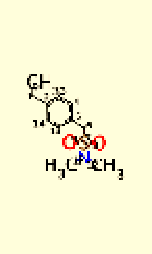 CCc1ccc(CS(=O)(=O)N(C)C)cc1